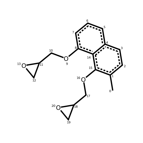 Cc1ccc2cccc(OCC3CO3)c2c1OCC1CO1